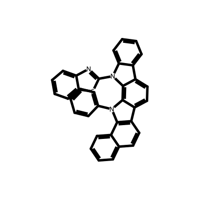 c1ccc(-n2c3c4ccccc4ccc3c3ccc4c5ccccc5n(-c5nc6ccccc6s5)c4c32)cc1